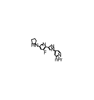 CCCc1cc(-n2cc(-c3ncc(NC4CCCC4)cc3F)cn2)ccn1